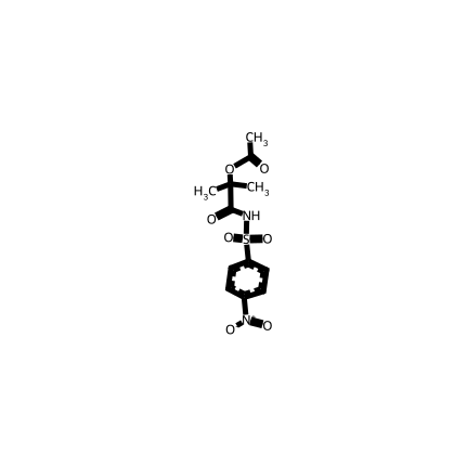 CC(=O)OC(C)(C)C(=O)NS(=O)(=O)c1ccc([N+](=O)[O-])cc1